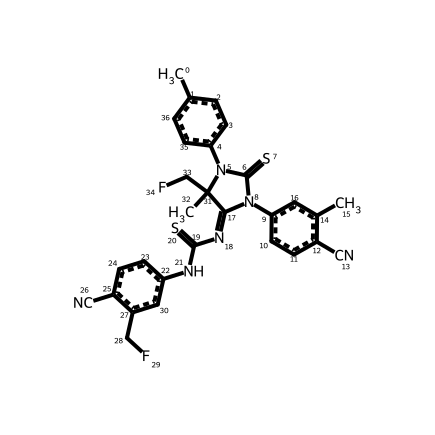 Cc1ccc(N2C(=S)N(c3ccc(C#N)c(C)c3)C(=NC(=S)Nc3ccc(C#N)c(CF)c3)C2(C)CF)cc1